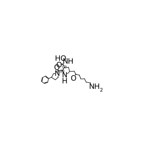 NCCCCCC(=O)CC1CN[C@@H](C(=O)N2CCC(c3ccccc3)C2)[C@@H](C(=O)NO)C1